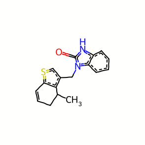 CC1CC=Cc2scc(Cn3c(=O)[nH]c4ccccc43)c21